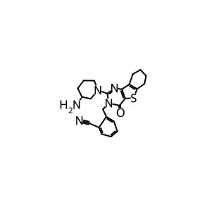 N#Cc1ccccc1Cn1c(N2CCC[C@H](N)C2)nc2c3c(sc2c1=O)CCCC3